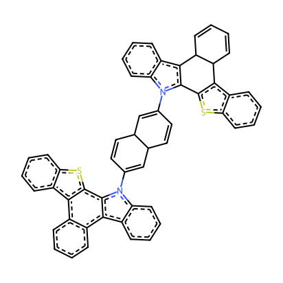 C1=CC2c3c(sc4ccccc34)-c3c(c4ccccc4n3C3=CC4C=CC(n5c6ccccc6c6c7ccccc7c7c8ccccc8sc7c65)=CC4C=C3)C2C=C1